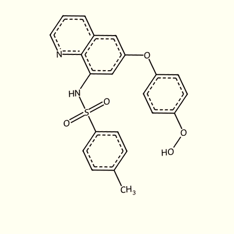 Cc1ccc(S(=O)(=O)Nc2cc(Oc3ccc(OO)cc3)cc3cccnc23)cc1